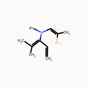 B/C(C)=C\N(C(C=C)=C(C)C)C(C)C